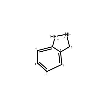 c1ccc2c(c1)CNP2